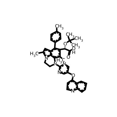 Cc1ccc(-c2c([C@H](OC(C)(C)C)C(=O)O)c(C)c3c4c2cc(C)n4CCN3c2ncc(Oc3ccnc4ccccc34)cn2)cc1